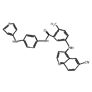 Cc1ccc(Nc2ccnc3ccc(C#N)cc23)cc1C(=O)Nc1ccc(Nc2ccncc2)cc1